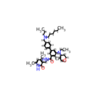 CCCCCCN(CCC)Cc1ccc(-c2cc(C(=O)NCc3c(C)cc(C)[nH]c3=O)c(C)c(N(CC)C3CCOCC3)c2)cc1